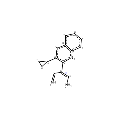 N=C/C(=C\N)c1nc2ccccc2nc1C1CC1